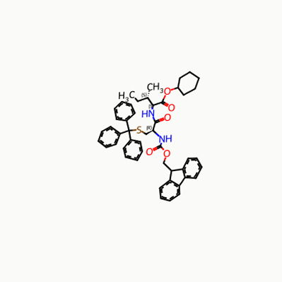 CC[C@H](C)[C@H](NC(=O)[C@H](CSC(c1ccccc1)(c1ccccc1)c1ccccc1)NC(=O)OCC1c2ccccc2-c2ccccc21)C(=O)OC1CCCCC1